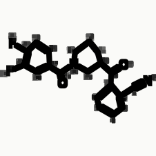 N#Cc1ccccc1C(=O)C1CCCN(C(=O)c2ccc(F)c(F)c2)C1